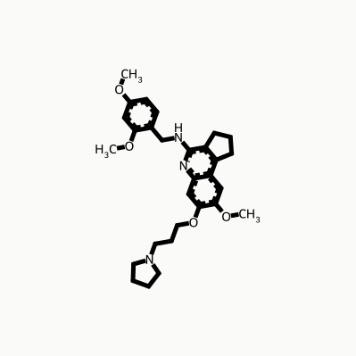 COc1ccc(CNc2nc3cc(OCCCN4CCCC4)c(OC)cc3c3c2CCC3)c(OC)c1